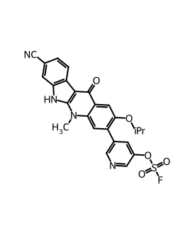 CC(C)Oc1cc2c(=O)c3c4ccc(C#N)cc4[nH]c3n(C)c2cc1-c1cncc(OS(=O)(=O)F)c1